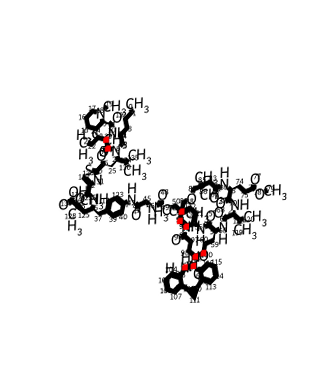 CCCCCCN(C(=O)[C@@H](NC(=O)[C@H]1CCCCN1C)[C@@H](C)CC)[C@H](C[C@@H](OCC)c1nc(C(=O)N[C@@H](Cc2ccc(NC(=O)CNC(=O)OCc3ccc(NC(=O)[C@H](CCCNC(N)=O)NC(=O)[C@@H](NC(=O)[C@H](CCC(=O)OC)NC(=O)CC(C)(C)COCC(C)(C)CNC(=O)CCC(=O)N4Cc5ccccc5C5=C(C5)c5ccccc54)C(C)C)cc3)cc2)CC(C)(C)C(=O)O)cs1)C(C)C